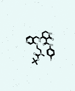 CN(CCOc1cnccc1CNC1=C(C(=S)Nc2ccc(F)cc2)C(=O)NCC1)C(=O)OC(C)(C)C